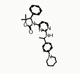 CC(Nc1nccc(N2C(=O)OC(C)(C)C2c2ccccc2)n1)c1ccc(N2CCCCC2)cc1